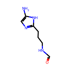 Nc1cnc(CCCNC=O)[nH]1